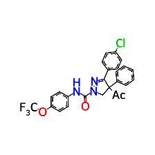 CC(=O)C1(c2ccccc2)CN(C(=O)Nc2ccc(OC(F)(F)F)cc2)N=C1c1ccc(Cl)cc1